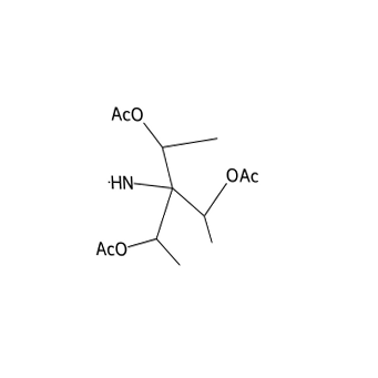 CC(=O)OC(C)C([NH])(C(C)OC(C)=O)C(C)OC(C)=O